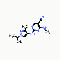 CNc1nc(Nc2cn(C(C)C)nc2C)ncc1C#N